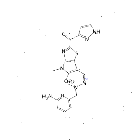 CN(Cc1cccc(N)n1)/N=C\c1c(C=O)n(C)c2nc(C(=O)c3cc[nH]n3)sc12